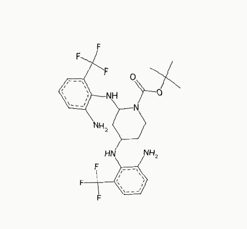 CC(C)(C)OC(=O)N1CCC(Nc2c(N)cccc2C(F)(F)F)CC1Nc1c(N)cccc1C(F)(F)F